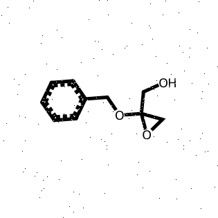 OCC1(OCc2ccccc2)CO1